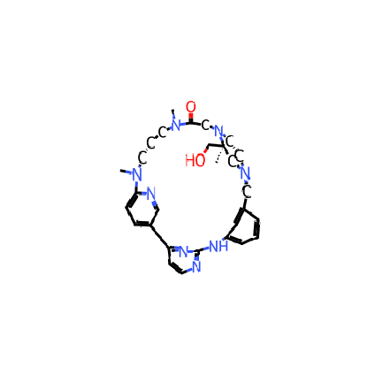 CN1CCCN(C)c2ccc(cn2)-c2ccnc(n2)Nc2cccc(c2)CN2CCN(CC1=O)[C@](C)(CO)C2